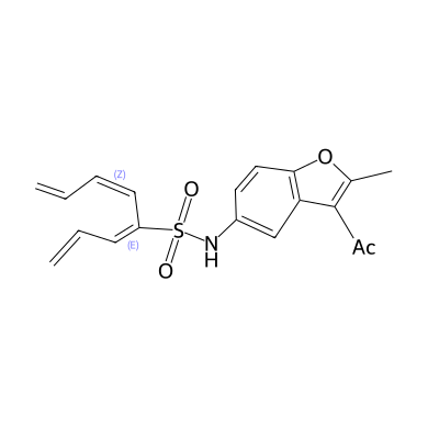 C=C/C=C\C(=C/C=C)S(=O)(=O)Nc1ccc2oc(C)c(C(C)=O)c2c1